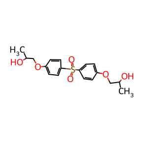 CC(O)COc1ccc(S(=O)(=O)c2ccc(OCC(C)O)cc2)cc1